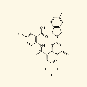 C[C@@H](Nc1ccc(Cl)nc1C(=O)O)c1cc(C(F)(F)F)cn2c(=O)cc(N3Cc4cc(F)cnc4C3)nc12